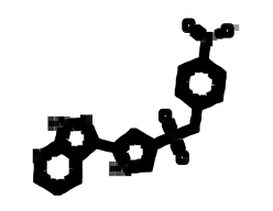 O=[N+]([O-])c1ccc(CS(=O)(=O)c2c[nH]c(-c3n[nH]c4ncccc34)c2)cc1